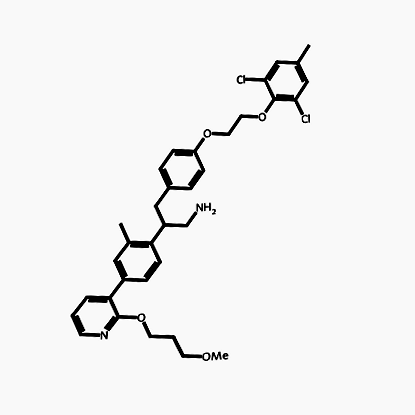 COCCCOc1ncccc1-c1ccc(C(CN)Cc2ccc(OCCOc3c(Cl)cc(C)cc3Cl)cc2)c(C)c1